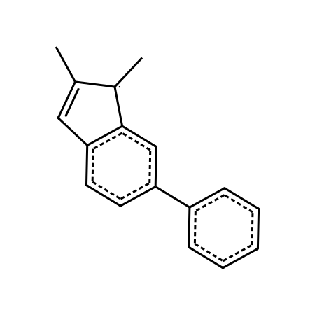 C[C]1C(C)=Cc2ccc(-c3ccccc3)cc21